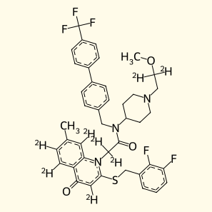 [2H]c1c(C)c([2H])c2c(c1[2H])c(=O)c([2H])c(SCc1cccc(F)c1F)n2C([2H])([2H])C(=O)N(Cc1ccc(-c2ccc(C(F)(F)F)cc2)cc1)C1CCN(CC([2H])([2H])OC)CC1